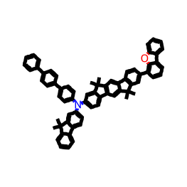 CC1(C)c2ccccc2-c2ccc(N(c3ccc(-c4ccc(-c5ccccc5)cc4)cc3)c3ccc4c(c3)C(C)(C)c3cc5c(cc3-4)C(C)(C)c3cc(-c4cccc6c4oc4ccccc46)ccc3-5)cc21